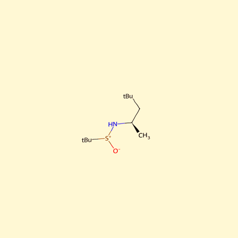 C[C@H](CC(C)(C)C)N[S+]([O-])C(C)(C)C